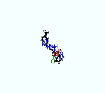 CC(NS(=O)(=O)c1ncn2ccc(Cl)c(F)c12)c1cn(Cc2cn3cc(C4CC4)ccc3n2)nn1